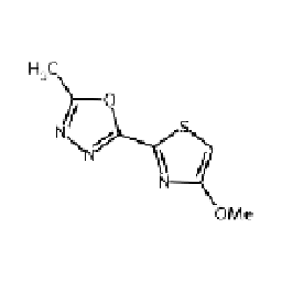 COc1csc(-c2nnc(C)o2)n1